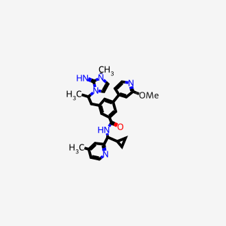 COc1cc(-c2cc(CC(C)n3ccn(C)c3=N)cc(C(=O)NC(c3cc(C)ccn3)C3CC3)c2)ccn1